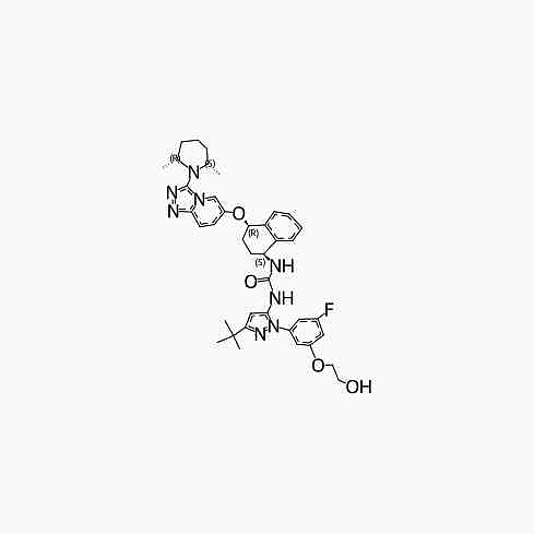 C[C@@H]1CCC[C@H](C)N1c1nnc2ccc(O[C@@H]3CC[C@H](NC(=O)Nc4cc(C(C)(C)C)nn4-c4cc(F)cc(OCCO)c4)c4ccccc43)cn12